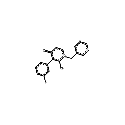 O=c1ccn(Cc2cncnc2)c(O)c1-c1cccc(Cl)c1